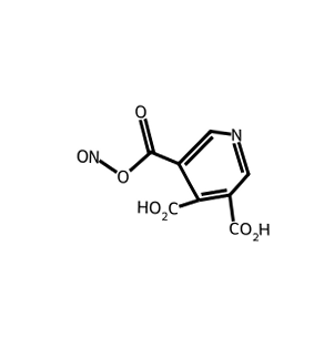 O=NOC(=O)c1cncc(C(=O)O)c1C(=O)O